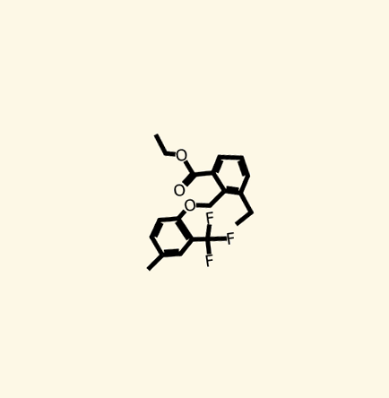 CCOC(=O)c1cccc(CC)c1COc1ccc(C)cc1C(F)(F)F